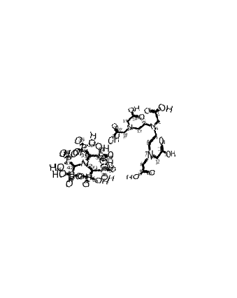 O=C(O)CN(CCN(CC(=O)O)CC(=O)O)CCN(CC(=O)O)CC(=O)O.O=P(O)(O)C(N(C(P(=O)(O)O)P(=O)(O)O)C(P(=O)(O)O)P(=O)(O)O)P(=O)(O)O